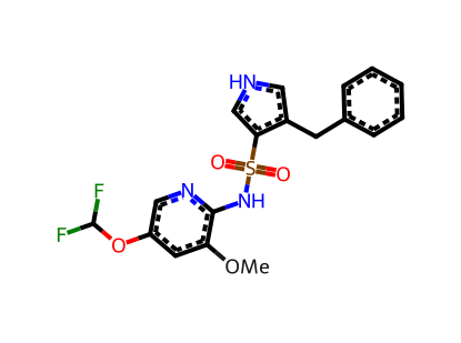 COc1cc(OC(F)F)cnc1NS(=O)(=O)c1c[nH]cc1Cc1ccccc1